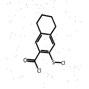 O=C(Cl)c1cc2c(cc1SCl)CCCC2